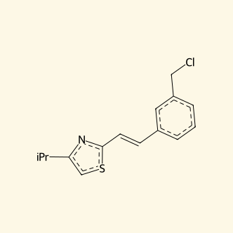 CC(C)c1csc(C=Cc2cccc(CCl)c2)n1